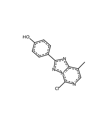 Cc1cnc(Cl)n2nc(-c3ccc(O)cc3)nc12